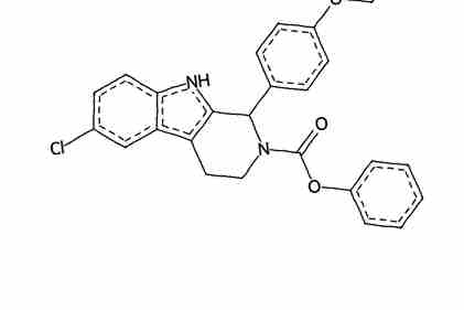 CCCOc1ccc(C2c3[nH]c4ccc(Cl)cc4c3CCN2C(=O)Oc2ccccc2)cc1